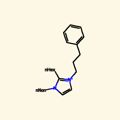 CCCCCCCCCn1cc[n+](CCCc2ccccc2)c1CCCCCC